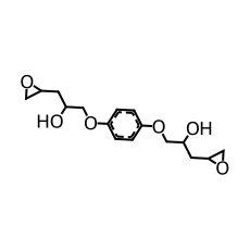 OC(COc1ccc(OCC(O)CC2CO2)cc1)CC1CO1